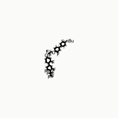 CCCCc1ccc(-c2ccc(OCC(F)(F)Oc3ccc(-c4cc(F)c(C(F)(F)C(F)F)c(F)c4)c(F)c3)c(F)c2)cc1